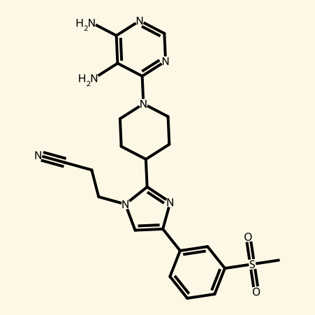 CS(=O)(=O)c1cccc(-c2cn(CCC#N)c(C3CCN(c4ncnc(N)c4N)CC3)n2)c1